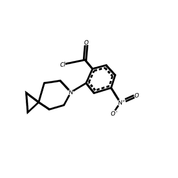 O=C(Cl)c1ccc([N+](=O)[O-])cc1N1CCC2(CC1)CC2